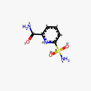 NC(=O)c1cccc(S(N)(=O)=O)n1